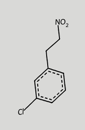 O=[N+]([O-])CCc1cccc(Cl)c1